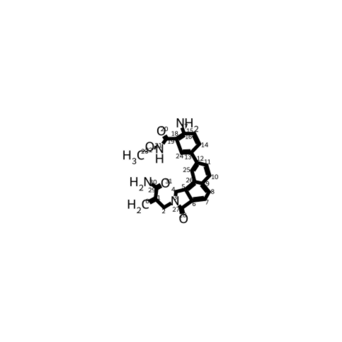 C=C(CN1Cc2c(ccc3ccc(-c4ccc(N)c(C(=O)NOC)c4)cc23)C1=O)C(N)=O